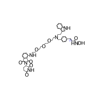 O=C(/C=C/c1ccc(CN(CCOCCOCCOCCNc2cccc3c2C(=O)N(C2CCC(=O)NC2=O)C3=O)CCc2c[nH]c3ccccc23)cc1)NO